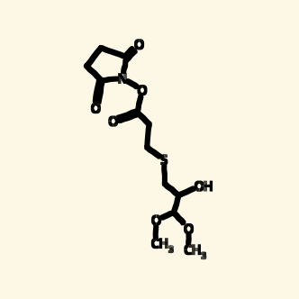 COC(OC)C(O)CSCCC(=O)ON1C(=O)CCC1=O